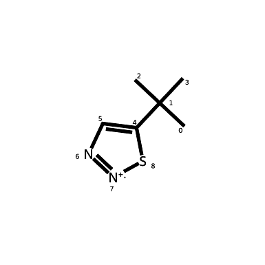 CC(C)(C)C1=CN=[N+]S1